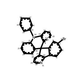 Brc1ccc2c(c1)C1(c3ccccc3N(c3ccccc3)c3ccccc31)c1cccnc1-2